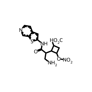 NCC(C(=O)Nc1cc2ccncc2s1)C1C(O[N+](=O)[O-])CC1C(=O)O